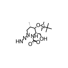 C[C@@H](CN=[N+]=N)[C@@H](O[Si](C)(C)C(C)(C)C)[C@@H](CO)NC(=O)[O-]